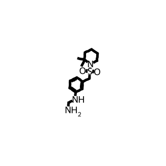 CC1(C)CCCCN1S(=O)(=O)Cc1cccc(NCN)c1